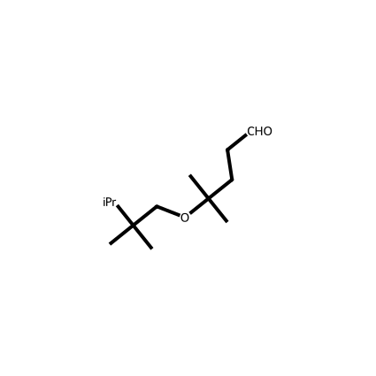 CC(C)C(C)(C)COC(C)(C)CCC=O